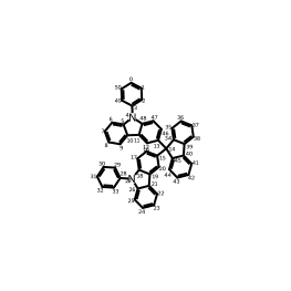 c1ccc(-n2c3ccccc3c3cc(C4(c5ccc6c(c5)c5ccccc5n6-c5ccccc5)c5ccccc5-c5ccccc54)ccc32)cc1